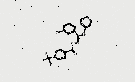 O=C(O/N=C(/Nc1ccccc1)c1cccc(Cl)c1)c1ccc(C(F)(F)F)cc1